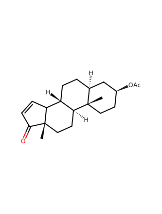 CC(=O)O[C@H]1CC[C@@]2(C)[C@@H](CC[C@H]3C4C=CC(=O)[C@@]4(C)CC[C@@H]32)C1